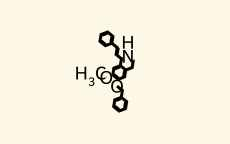 COc1cc2c(cc1OCc1ccccc1)CCNC2C=Cc1ccccc1